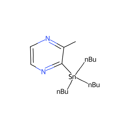 CCC[CH2][Sn]([CH2]CCC)([CH2]CCC)[c]1nccnc1C